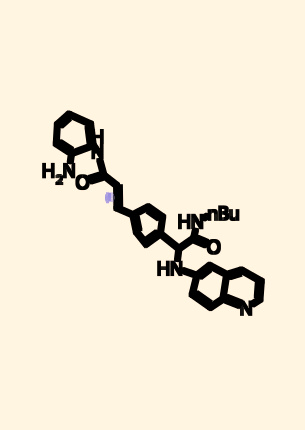 CCCCNC(=O)C(Nc1ccc2ncccc2c1)c1ccc(/C=C/C(=O)Nc2ccccc2N)cc1